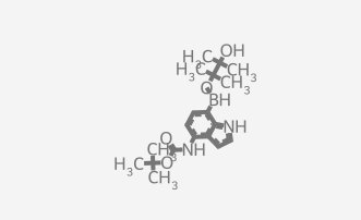 CC(C)(C)OC(=O)Nc1ccc(BOC(C)(C)C(C)(C)O)c2[nH]ccc12